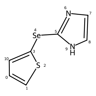 c1csc([Se]c2ncc[nH]2)c1